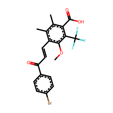 COc1c(C=CC(=O)c2ccc(Br)cc2)c(C)c(C)c(C(=O)O)c1C(F)(F)F